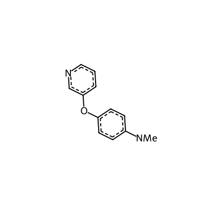 CNc1ccc(Oc2cccnc2)cc1